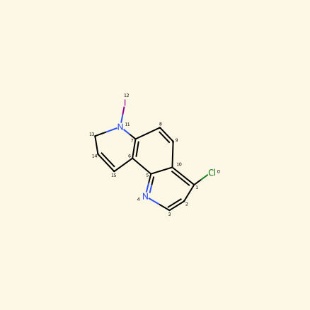 Clc1ccnc2c3c(ccc12)N(I)CC=C3